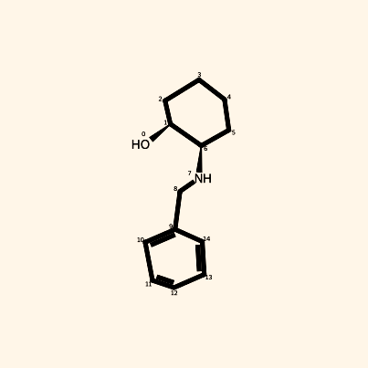 O[C@H]1CCCC[C@H]1NCc1ccccc1